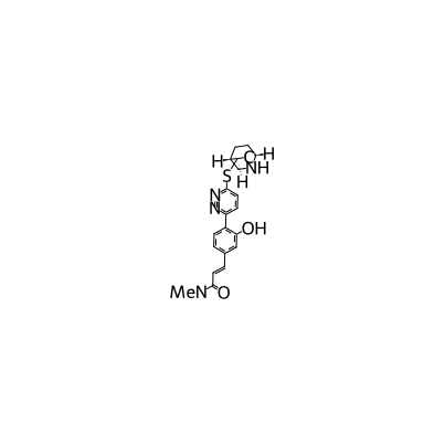 CNC(=O)/C=C/c1ccc(-c2ccc(S[C@@H]3C[C@@H]4CC[C@H]3CN4)nn2)c(O)c1